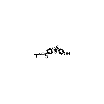 CC(C)CCOC(=O)c1ccc(OS(=O)(=O)c2ccc(O)cc2)cc1